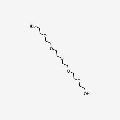 CCC(C)CCOCCOCCOCCOCCOCCO